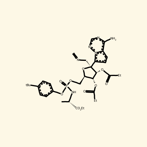 C=NC[C@@]1(c2ccc3c(N)ncnn23)O[C@H](COP(=O)(N[C@@H](C)C(=O)OCC)Oc2ccc(C(C)(C)C)cc2)[C@@H](OC(=O)CC)[C@H]1OC(=O)CC